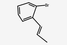 C/C=C/c1ccccc1Br